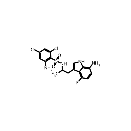 Nc1cc(Cl)cc(Cl)c1S(=O)(=O)NC(Cc1c[nH]c2c(N)ccc(F)c12)C(F)(F)F